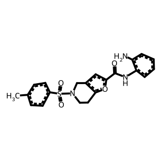 Cc1ccc(S(=O)(=O)N2CCc3oc(C(=O)Nc4ccccc4N)cc3C2)cc1